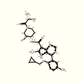 Cc1ccc(OCC2CC2)c(-c2ncnc3c(C(=O)N[C@H]4CCN(C(=O)[C@H](C)O)C[C@@H]4F)c(C)[nH]c23)c1